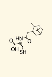 CC1CCC2CC1(CC(=O)N[C@@H](CS)C(=O)O)C2(C)C